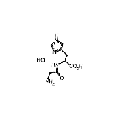 Cl.NCC(=O)N[C@@H](Cc1c[nH]cn1)C(=O)O